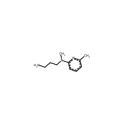 Cc1cccc(N(C)CCCN)n1